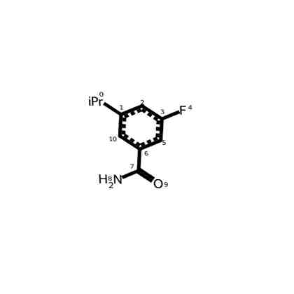 CC(C)c1cc(F)cc(C(N)=O)c1